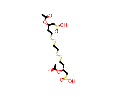 CC(=O)O[C@H](CCSSCCSSCC[C@H](CS(=O)O)OC(C)=O)CS(=O)O